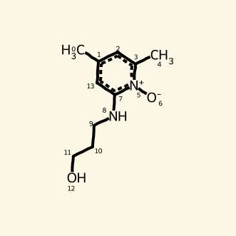 Cc1cc(C)[n+]([O-])c(NCCCO)c1